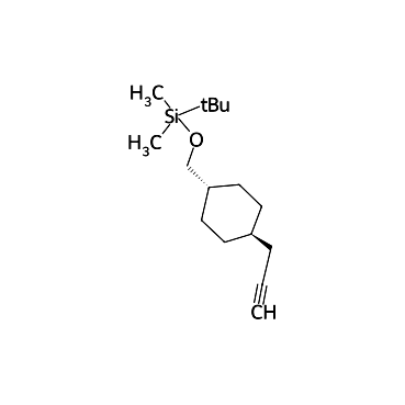 C#CC[C@H]1CC[C@H](CO[Si](C)(C)C(C)(C)C)CC1